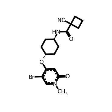 Cn1cc(Br)c(O[C@H]2CC[C@H](NC(=O)C3(C#N)CCC3)CC2)cc1=O